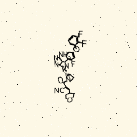 N#CC(=CC1CCOCC1)C(=O)N1CCC[C@H]1Cn1nc(-c2ccc(Oc3cccc(F)c3F)cc2F)c2c(N)ncnc21